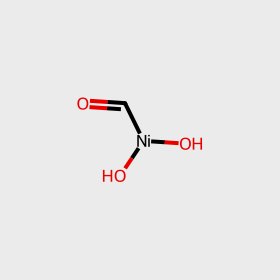 O=[CH][Ni]([OH])[OH]